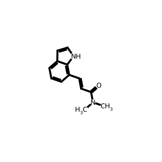 CN(C)C(=O)/C=C/c1cccc2cc[nH]c12